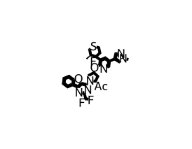 CC(=O)[C@@H]1C[C@H](Oc2ncc(-c3cnn(C)c3)cc2[C@@]2(F)CCSC[C@@H]2C)CN1c1nc(C(F)F)nc2c1oc1ccccc12